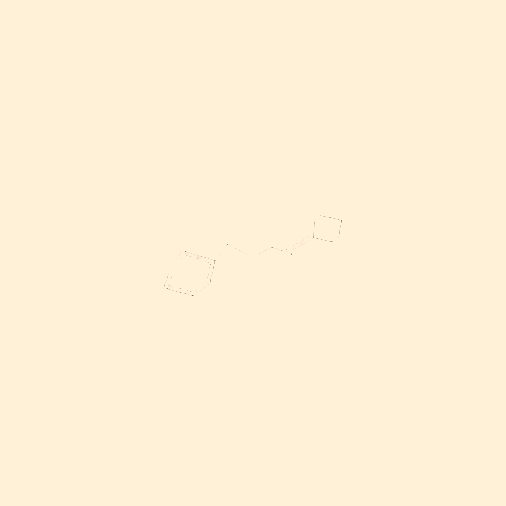 c1ccc(COCN=C2SCS2)cc1